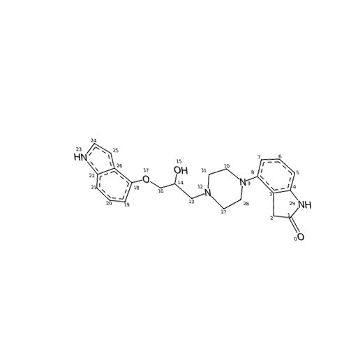 O=C1Cc2c(cccc2N2CCN(CC(O)COc3cccc4[nH]ccc34)CC2)N1